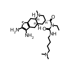 CCN(C(=O)NCCCCN(C)C)C(=O)[C@@H]1C[C@@H]2Cc3c(sc(N)c3N)C[C@H]2N(C)C1